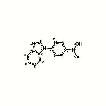 CC(=O)N(O)c1ccc(-n2cnc3ccccc32)nc1